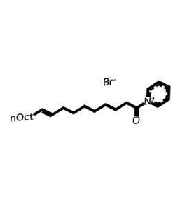 CCCCCCCCC=CCCCCCCCC(=O)[n+]1ccccc1.[Br-]